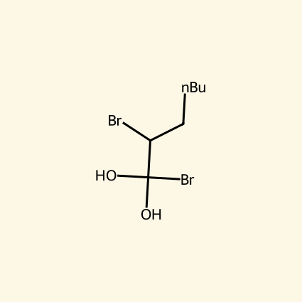 CCCCCC(Br)C(O)(O)Br